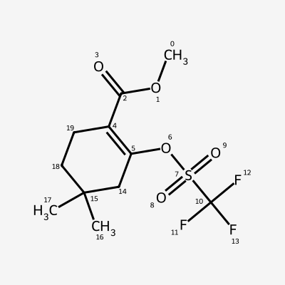 COC(=O)C1=C(OS(=O)(=O)C(F)(F)F)CC(C)(C)CC1